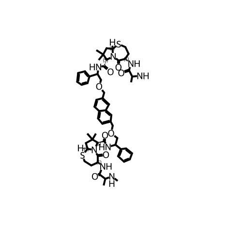 CNC(C)C(=O)N[C@H]1CCS[C@H]2CC(C)(C)[C@@H](C(=O)NC(COCc3ccc4ccc(COCC(NC(=O)[C@H]5N6C(=O)[C@@H](NC(=O)C(C)NC)CCS[C@H]6CC5(C)C)c5ccccc5)cc4c3)c3ccccc3)N2C1=O